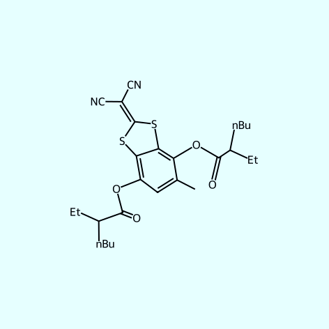 CCCCC(CC)C(=O)Oc1cc(C)c(OC(=O)C(CC)CCCC)c2c1SC(=C(C#N)C#N)S2